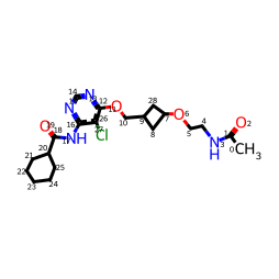 CC(=O)NCCOC1CC(COc2ncnc(NC(=O)C3CCCCC3)c2Cl)C1